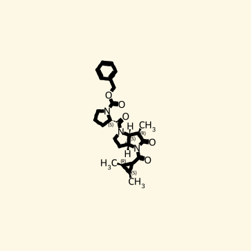 C[C@@H]1C(C(=O)N2C(=O)[C@H](C)[C@H]3[C@H]2CCN3C(=O)[C@@H]2CCCN2C(=O)OCc2ccccc2)[C@@H]1C